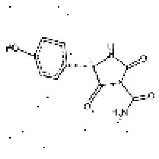 NC(=O)N1C(=O)N[C@@H](c2ccc(O)cc2)C1=O